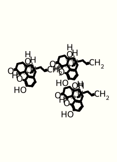 C=CCN1CC[C@]23c4c5ccc(O)c4O[C@H]2C(=O)CC[C@@]3(O)[C@H]1C5.C=CCN1CC[C@]23c4c5ccc(O)c4O[C@H]2C(=O)CC[C@@]3(O)[C@H]1C5.C=CCN1CC[C@]23c4c5ccc(O)c4O[C@H]2C(=O)CC[C@@]3(O)[C@H]1C5